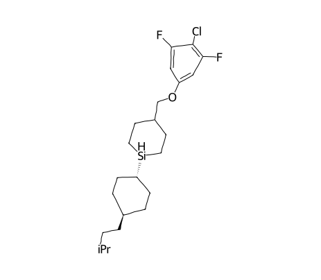 CC(C)CC[C@H]1CC[C@H]([SiH]2CCC(COc3cc(F)c(Cl)c(F)c3)CC2)CC1